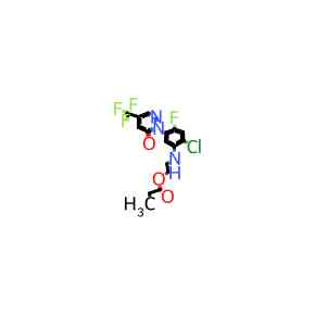 CCC(=O)OCCNc1cc(-n2ncc(C(F)(F)F)cc2=O)c(F)cc1Cl